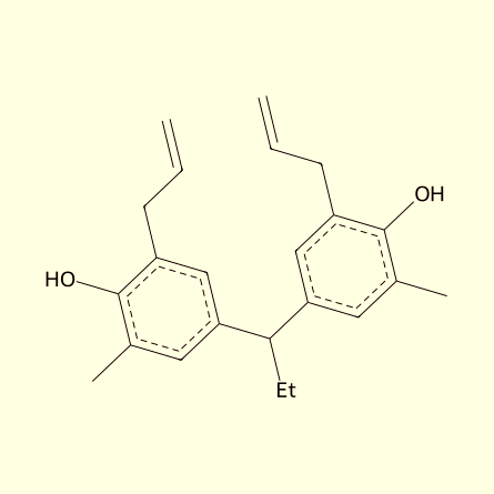 C=CCc1cc(C(CC)c2cc(C)c(O)c(CC=C)c2)cc(C)c1O